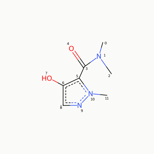 CN(C)C(=O)c1c(O)[c]nn1C